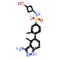 Cc1cc(S(=O)(=O)NC2CC(O)C2)ccc1-c1ccc2[nH]nc(N)c2c1C